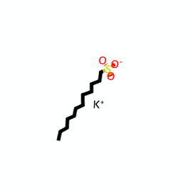 CCCCCCCCCCCCS(=O)(=O)[O-].[K+]